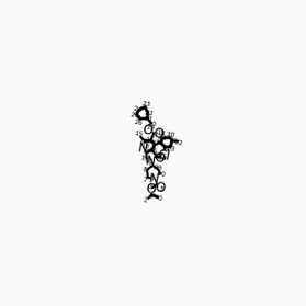 C=C(C)OC(=O)N1CCC(N2Cc3nc(C)c(C(=O)OCc4ccccc4)c(-c4ccc(C)cc4Cl)c3C2=O)CC1